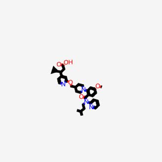 COc1ccc(C(=O)N(CCC(C)C)c2ccccn2)c(N2CCC(COc3cc(C(CC(=O)O)C4CC4)ccn3)CC2)c1